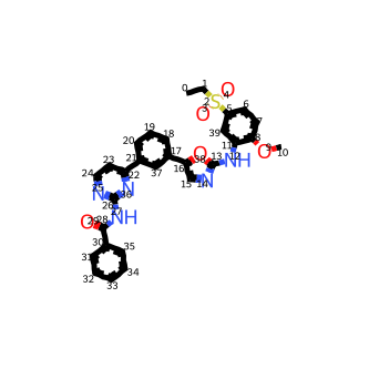 CCS(=O)(=O)c1ccc(OC)c(Nc2ncc(-c3cccc(-c4ccnc(NC(=O)c5ccccc5)n4)c3)o2)c1